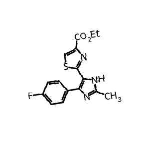 CCOC(=O)c1csc(-c2[nH]c(C)nc2-c2ccc(F)cc2)n1